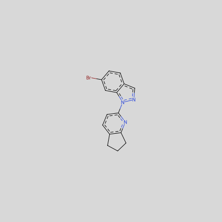 Brc1ccc2cnn(-c3ccc4c(n3)CCC4)c2c1